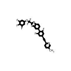 Cc1ccc(C#Cc2cc(F)c(-c3ccc4nc(C(F)(F)Oc5cc(F)c(F)c(F)c5)sc4c3)c(F)c2)nc1